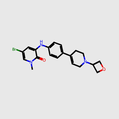 Cn1cc(Br)cc(Nc2ccc(C3=CCN(C4COC4)CC3)cc2)c1=O